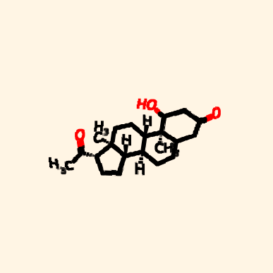 CC(=O)[C@H]1CC[C@H]2[C@@H]3CCC4CC(=O)CC(O)[C@]4(C)[C@H]3CC[C@]12C